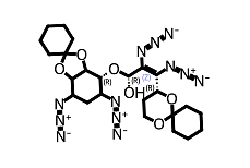 [N-]=[N+]=N/C(=C(\N=[N+]=[N-])[C@H]1CCOC2(CCCCC2)O1)[C@H](O)O[C@@H]1C(N=[N+]=[N-])CC(N=[N+]=[N-])C2OC3(CCCCC3)OC21